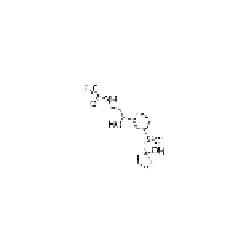 O=C(NCCC(O)c1cccc([S+]([O-])CC2(O)CCCC2)c1)C(F)(F)F